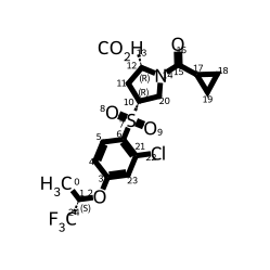 C[C@H](Oc1ccc(S(=O)(=O)[C@@H]2C[C@H](C(=O)O)N(C(=O)C3CC3)C2)c(Cl)c1)C(F)(F)F